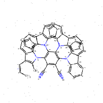 C/C=C\c1c(C)n(-c2c(C#N)c(C#N)c(-n3c4ccccc4c4ccccc43)c(-n3c4ccccc4c4ccccc43)c2-n2c3c(c4ccccc42)C=CCC3)c2ccccc12